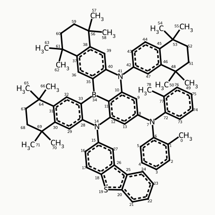 Cc1ccccc1N(c1cc2c3c(c1)N(c1ccc4sc5ccccc5c4c1)c1cc4c(cc1B3c1cc3c(cc1N2c1ccc2c(c1)C(C)(C)CCC2(C)C)C(C)(C)CCC3(C)C)C(C)(C)CCC4(C)C)c1ccccc1C